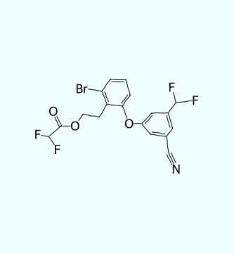 N#Cc1cc(Oc2cccc(Br)c2CCOC(=O)C(F)F)cc(C(F)F)c1